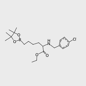 CCOC(=O)C(CCCCB1OC(C)(C)C(C)(C)O1)NCc1ccc(Cl)cc1